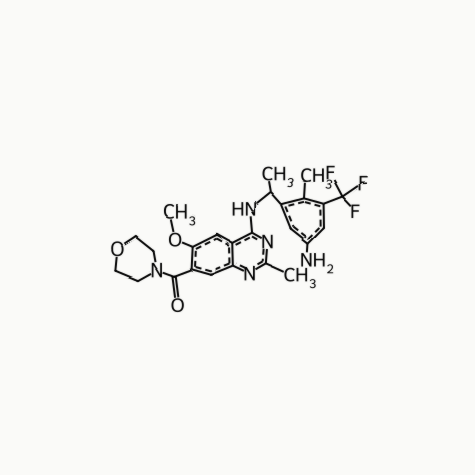 COc1cc2c(NC(C)c3cc(N)cc(C(F)(F)F)c3C)nc(C)nc2cc1C(=O)N1CCOCC1